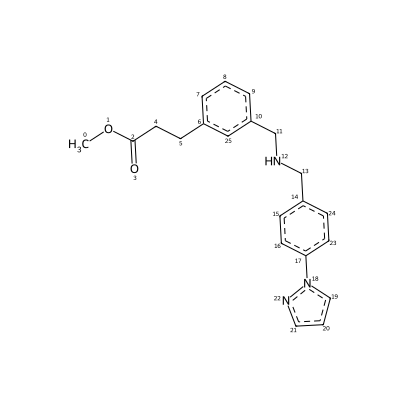 COC(=O)CCc1cccc(CNCc2ccc(-n3cccn3)cc2)c1